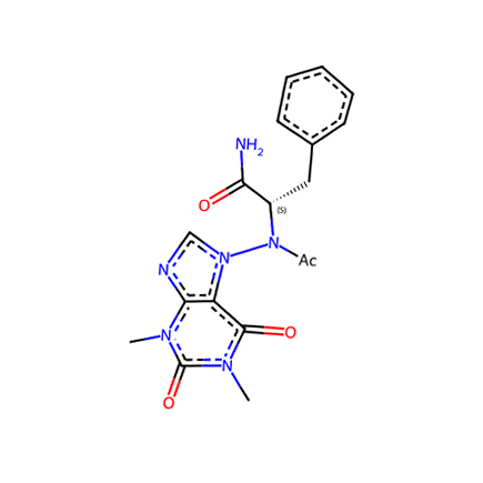 CC(=O)N([C@@H](Cc1ccccc1)C(N)=O)n1cnc2c1c(=O)n(C)c(=O)n2C